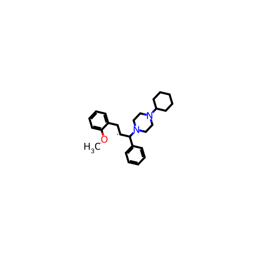 COc1ccccc1C[CH]C(c1ccccc1)N1CCN(C2CCCCC2)CC1